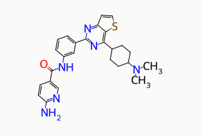 CN(C)C1CCC(c2nc(-c3cccc(NC(=O)c4ccc(N)nc4)c3)nc3ccsc23)CC1